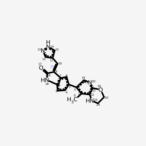 Cc1c(-c2ccc3c(c2)/C(=C/c2cn[nH]c2)C(=O)N3)cnc2c1NCCO2